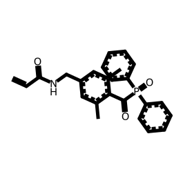 C=CC(=O)NCc1cc(C)c(C(=O)P(=O)(c2ccccc2)c2ccccc2)c(C)c1